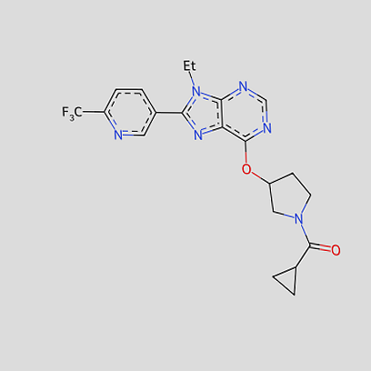 CCn1c(-c2ccc(C(F)(F)F)nc2)nc2c(OC3CCN(C(=O)C4CC4)C3)ncnc21